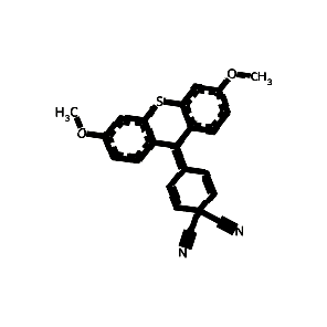 COc1ccc2c(c1)Sc1cc(OC)ccc1C2=C1C=CC(C#N)(C#N)C=C1